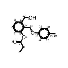 CCC(=O)Oc1cccc(CO)c1COc1ccc(C)cc1